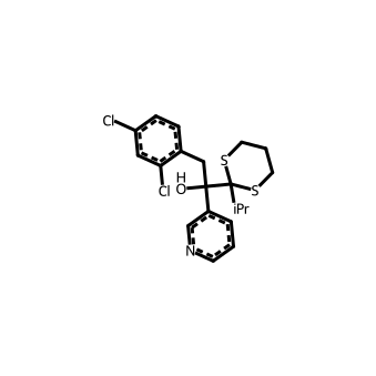 CC(C)C1(C(O)(Cc2ccc(Cl)cc2Cl)c2cccnc2)SCCCS1